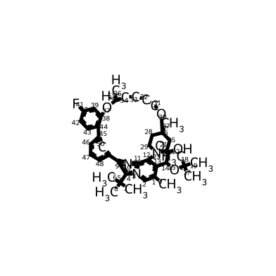 Cc1cn2c(C(C)(C)C)c3nc2c(c1C(OC(C)(C)C)C(=O)O)N1CCC(C)(CC1)OCCCC[C@H](C)Oc1cc(F)ccc1-c1cccc-3c1